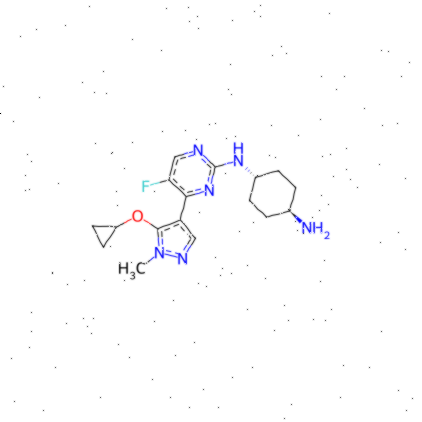 Cn1ncc(-c2nc(N[C@H]3CC[C@H](N)CC3)ncc2F)c1OC1CC1